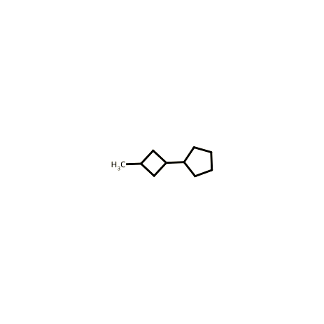 CC1CC(C2CCCC2)C1